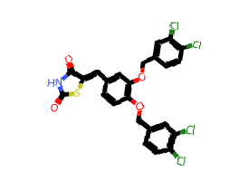 O=C1NC(=O)/C(=C/c2ccc(OCc3ccc(Cl)c(Cl)c3)c(OCc3ccc(Cl)c(Cl)c3)c2)S1